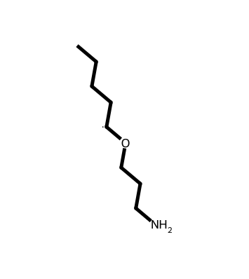 CCCC[CH]OCCCN